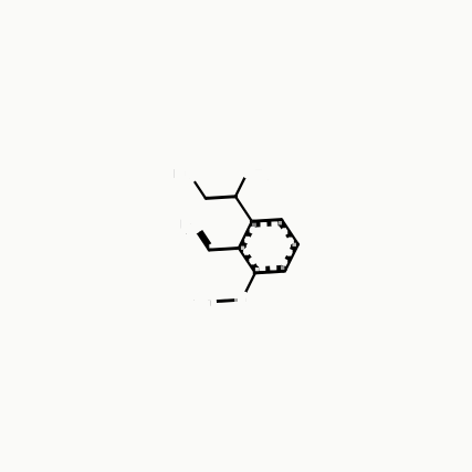 [CH2]C(CO)c1cccc(OCCC)c1C=C